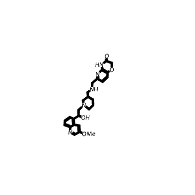 COc1cnc2cccc(C(O)CN3CCCC(CNCc4ccc5c(n4)NC(=O)CO5)C3)c2c1